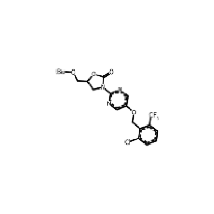 CC(C)(C)OCC1CN(c2ncc(OCc3c(Cl)cccc3C(F)(F)F)cn2)C(=O)O1